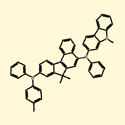 Cc1ccc(N(c2ccccc2)c2ccc3c(c2)C(C)(C)c2cc(N(c4ccccc4)c4ccc5c6ccccc6n(C)c5c4)c4ccccc4c2-3)cc1